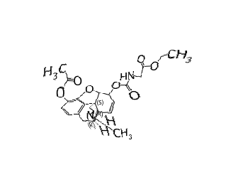 CCOC(=O)CNC(=O)OC1C=C[C@H]2[C@H]3Cc4ccc(OC(C)=O)c5c4[C@@]2(CCN3C)C1O5